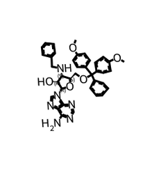 COc1ccc(C(OC[C@H]2O[C@@H](n3cnc4c(N)ncnc43)[C@H](O)[C@@H]2NCc2ccccc2)(c2ccccc2)c2ccc(OC)cc2)cc1